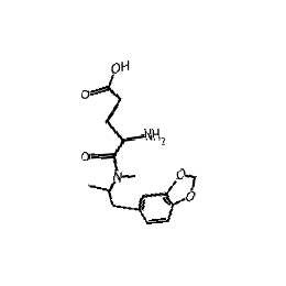 CC(Cc1ccc2c(c1)OCO2)N(C)C(=O)C(N)CCC(=O)O